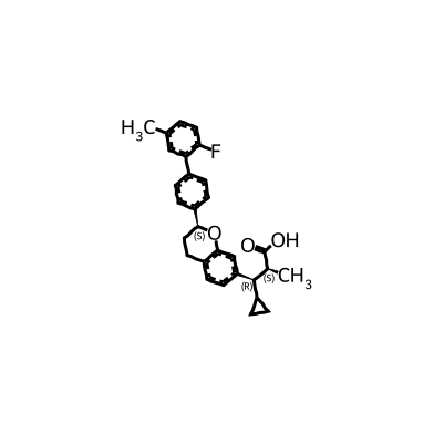 Cc1ccc(F)c(-c2ccc([C@@H]3CCc4ccc([C@H](C5CC5)[C@H](C)C(=O)O)cc4O3)cc2)c1